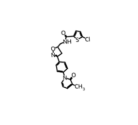 Cc1cccn(-c2ccc(C3=NOC(CNC(=O)c4ccc(Cl)s4)C3)cc2)c1=O